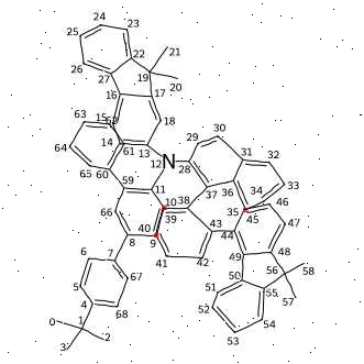 CC(C)(C)c1ccc(-c2ccc(N(c3ccc4c(c3)C(C)(C)c3ccccc3-4)c3ccc4ccccc4c3-c3ccccc3-c3cccc4c3-c3ccccc3C4(C)C)c(-c3ccccc3)c2)cc1